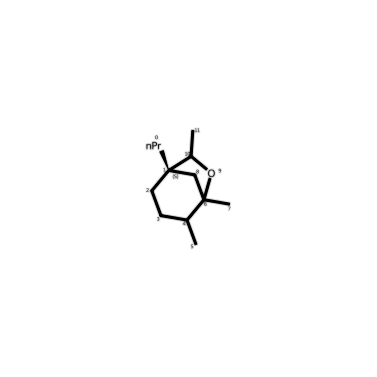 CCC[C@]12CCC(C)C(C)(C1)OC2C